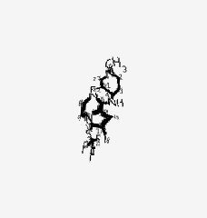 CN1CC[C@@H](Nc2nccn3c(SC(F)(F)F)c(I)cc23)[C@@H](F)C1